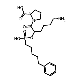 NCCCCC(OP(=O)(O)CCCCCc1ccccc1)C(=O)N1CCC[C@H]1C(=O)O